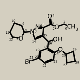 CCOC(=O)c1nn(C2CCCCO2)cc1C(O)c1cc(Br)ccc1OC1CCC1